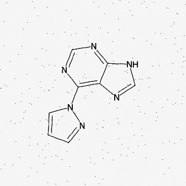 c1cnn(-c2ncnc3[nH]cnc23)c1